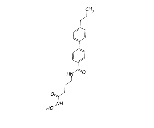 CCCc1ccc(-c2ccc(C(=O)NCCCC(=O)NO)cc2)cc1